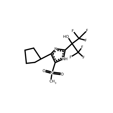 CS(=O)(=O)c1[nH]c(C(O)(C(F)(F)F)C(F)(F)F)nc1C1CCCC1